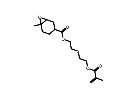 C=C(C)C(=O)OCCSCCOC(=O)C1CCC2(C)OC2C1